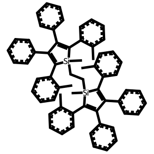 Cc1ccccc1C1=C(c2ccccc2)C(c2ccccc2)=C(c2ccccc2C)[Si]1(C)CC[Si]1(C)C(c2ccccc2C)=C(c2ccccc2)C(c2ccccc2)=C1c1ccccc1C